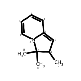 CC1C=C2C=CC=CN2C1(C)C